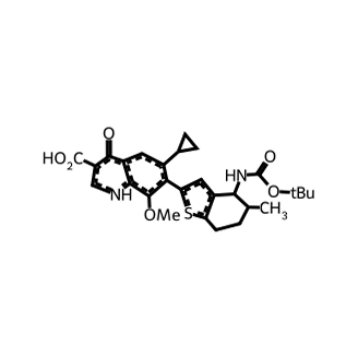 COc1c(-c2cc3c(s2)CCC(C)C3NC(=O)OC(C)(C)C)c(C2CC2)cc2c(=O)c(C(=O)O)c[nH]c12